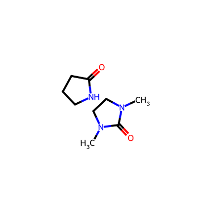 CN1CCN(C)C1=O.O=C1CCCN1